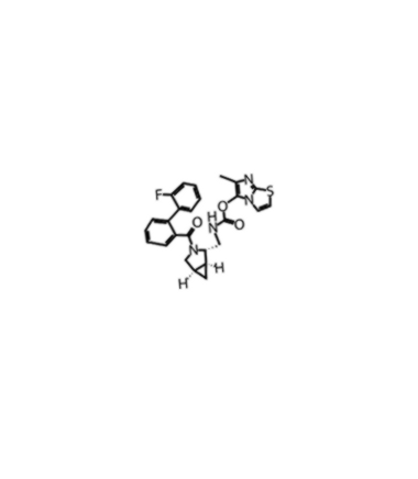 Cc1nc2sccn2c1OC(=O)NC[C@@H]1[C@H]2C[C@H]2CN1C(=O)c1ccccc1-c1ccccc1F